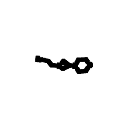 BrCCN1CC(N2CCOCC2)C1